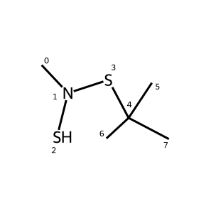 CN(S)SC(C)(C)C